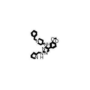 c1ccc(CN2CCC(Nc3nc(NCc4ccccn4)ncc3-c3ccc4c(c3)OCO4)CC2)cc1